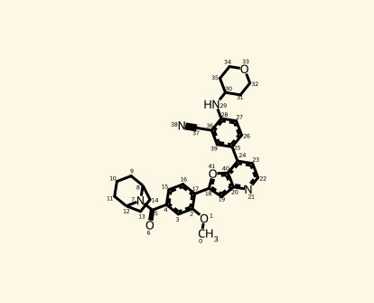 COc1cc(C(=O)N2C3CCCC2CC3)ccc1-c1cc2nccc(-c3ccc(NC4CCOCC4)c(C#N)c3)c2o1